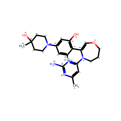 Cc1cc(N2CCCOC=C2c2c(O)cc(N3CCC(C)(O)CC3)cc2Cl)nc(N)n1